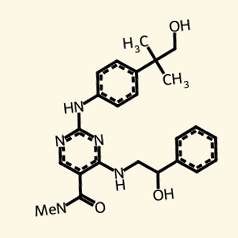 CNC(=O)c1cnc(Nc2ccc(C(C)(C)CO)cc2)nc1NCC(O)c1ccccc1